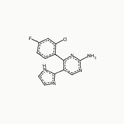 Nc1ncc(-c2ncc[nH]2)c(-c2ccc(F)cc2Cl)n1